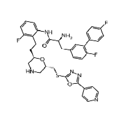 N[C@@H](Cc1ccc(F)c(-c2ccc(F)cc2)c1)C(=O)Nc1cccc(F)c1CC[C@@H]1CNC[C@@H](CSc2nnc(-c3ccncc3)o2)O1